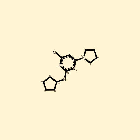 Clc1cc(N2CCCC2)nc(NC2CCCC2)n1